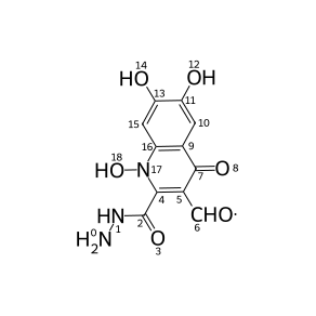 NNC(=O)c1c([C]=O)c(=O)c2cc(O)c(O)cc2n1O